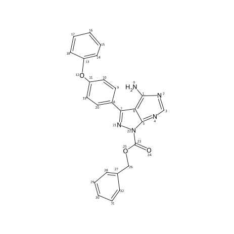 Nc1ncnc2c1c(-c1ccc(Oc3ccccc3)cc1)nn2C(=O)OCc1ccccc1